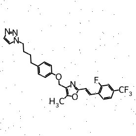 Cc1oc(C=Cc2ccc(C(F)(F)F)cc2F)nc1COc1ccc(CCCCn2ccnn2)cc1